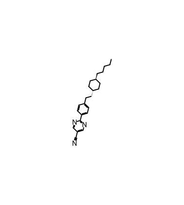 CCCCC[C@H]1CC[C@H](CCc2ccc(-c3ncc(C#N)cn3)cc2)CC1